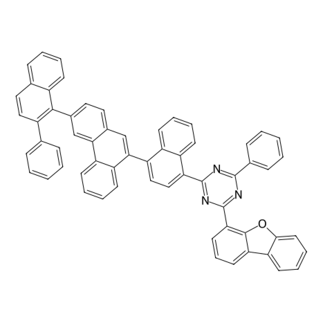 c1ccc(-c2nc(-c3ccc(-c4cc5ccc(-c6c(-c7ccccc7)ccc7ccccc67)cc5c5ccccc45)c4ccccc34)nc(-c3cccc4c3oc3ccccc34)n2)cc1